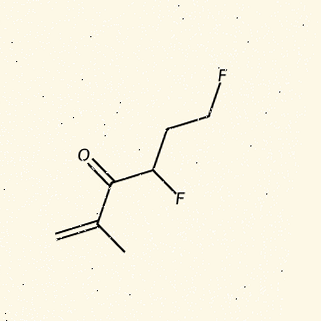 C=C(C)C(=O)C(F)CCF